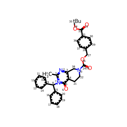 Cc1nc2c(c(=O)n1C(c1ccccc1)c1ccccc1)CCN(C(=O)OCc1ccc(C(=O)OC(C)(C)C)cc1)C2